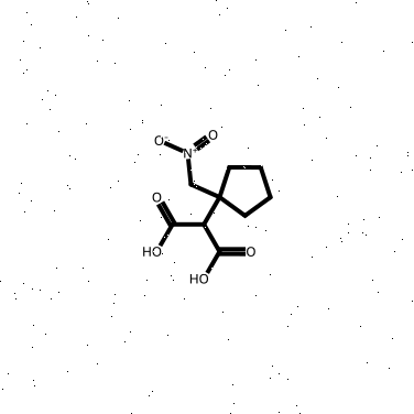 O=C(O)C(C(=O)O)C1(C[N+](=O)[O-])CCCC1